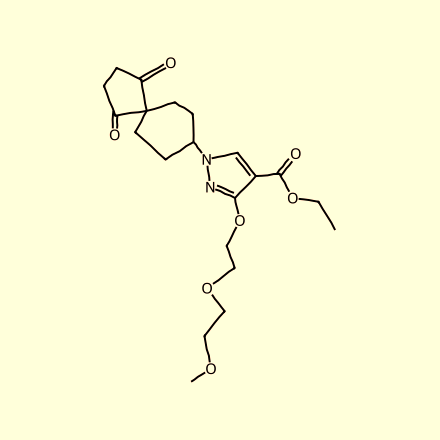 CCOC(=O)c1cn(C2CCC3(CC2)C(=O)CCC3=O)nc1OCCOCCOC